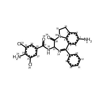 Nc1cc2c3c(c1)C(c1ccccc1)=NC(NC(=O)c1cc(Cl)c(N)c(Cl)c1)C(=O)N3CC2